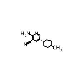 C[C@H]1CC[C@H](c2cnc(N)c(C#N)c2)CC1